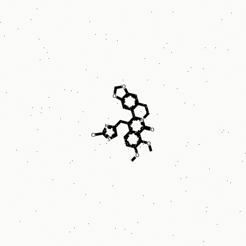 COc1ccc2c(Cc3csc(Cl)n3)c3n(c(=O)c2c1OC)CCc1cc2c(cc1-3)OCO2